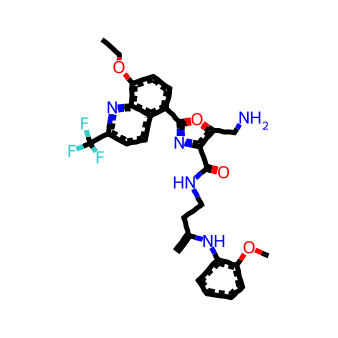 C=C(CCNC(=O)c1nc(-c2ccc(OCC)c3nc(C(F)(F)F)ccc23)oc1CN)Nc1ccccc1OC